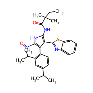 CCC(C)(C)C(=O)Nc1[nH]c(N=O)c(-c2ccc(C(C)C)cc2C(C)C)c1-c1nc2ccccc2s1